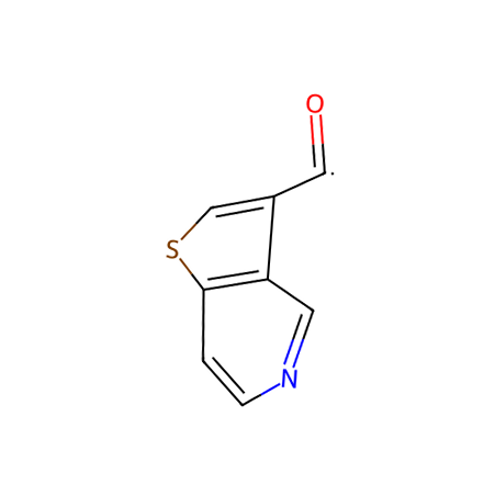 O=[C]c1csc2ccncc12